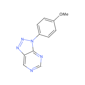 COc1ccc(-n2nnc3cn[c]nc32)cc1